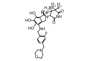 BC1(B)C(=O)NC(=O)C(N2Cc3c(NCc4ccc(CN5CCOCC5)cc4F)c(O)c(O)c(O)c3C2=O)C1(B)B